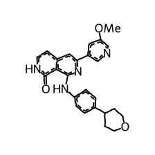 COc1cncc(-c2cc3cc[nH]c(=O)c3c(Nc3ccc(C4CCOCC4)cc3)n2)c1